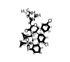 CN/N=C(/C[C@H]1O[C@H](c2cccc(Cl)c2)[C@@H](c2ccc(Cl)cc2)N([C@H](CN(c2ccccc2F)S(=O)(=O)C2CC2)C2CC2)C1=O)N=N